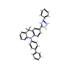 CC1(C)c2ccccc2N(c2ccc(-c3ccccc3)cc2)c2ccc(-c3nc(-c4ccccc4)ns3)cc21